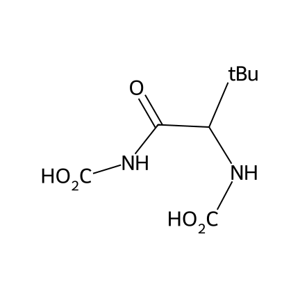 CC(C)(C)C(NC(=O)O)C(=O)NC(=O)O